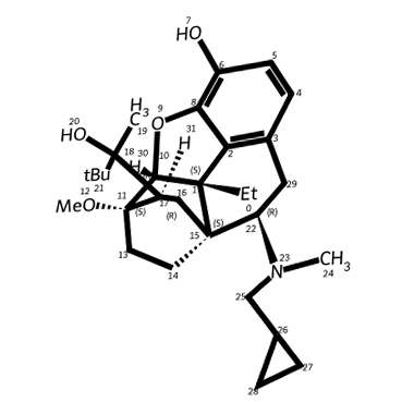 CC[C@]12c3c4ccc(O)c3O[C@H]1[C@]1(OC)CC[C@@]2(C[C@@H]1C(C)(O)C(C)(C)C)[C@H](N(C)CC1CC1)C4